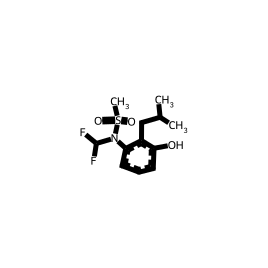 CC(C)Cc1c(O)cccc1N(C(F)F)S(C)(=O)=O